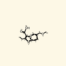 CCc1nc2ccc(COC)cn2c1C(=O)O